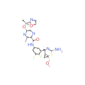 COC[C@]12C=C1[C@@](C)(c1cc(NC(=O)c3ncc(O[C@@H](C)c4ncco4)nc3C)cc(F)c1F)N=C(N)S2